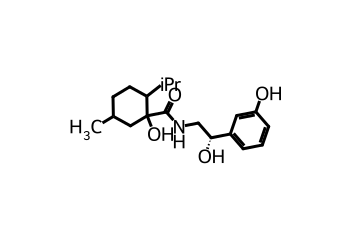 CC1CCC(C(C)C)C(O)(C(=O)NC[C@@H](O)c2cccc(O)c2)C1